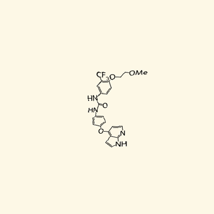 COCCOc1ccc(NC(=O)Nc2ccc(Oc3ccnc4[nH]ccc34)cc2)cc1C(F)(F)F